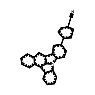 N#Cc1ccc(-c2ccc3c(c2)c2cc4ccccc4c4c5ccccc5n3c24)cc1